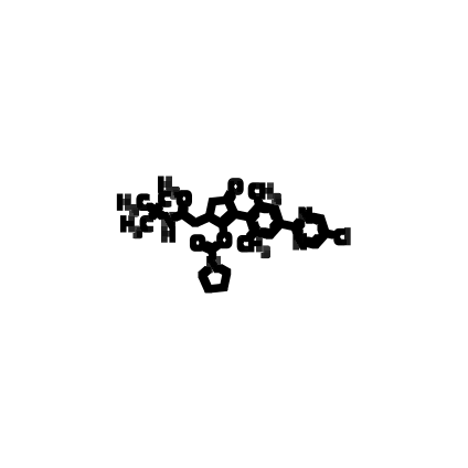 Cc1cc(-c2ncc(Cl)cn2)cc(C)c1C1=C(OC(=O)N2CCCC2)C(CC(=O)NC(C)(C)C)CC1=O